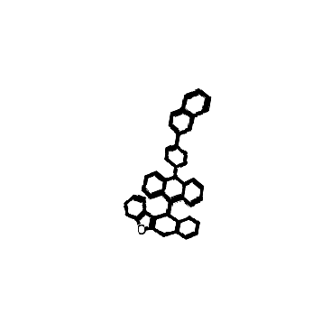 C1=CC2=CC=C(C3=CCC(C4C5=CCCC=C5C(C5c6c(oc7c6C=CCC7)CC6C=CCCC65)=C5C=CC=CC54)CC3)CC2C=C1